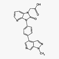 Cn1ncc2c(-c3ccc(-n4c(=O)n(CC(=O)O)c5cccnc54)cc3)cncc21